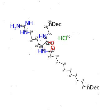 CCCCCCCCCCCCCCCCCCCCCC(=O)N[C@@H](CCCCNC(=N)N)C(=O)NCCCCCCCCCCCC.Cl